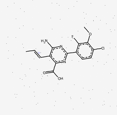 C/C=C/c1c(N)nc(-c2ccc(Cl)c(OC)c2F)nc1C(=O)O